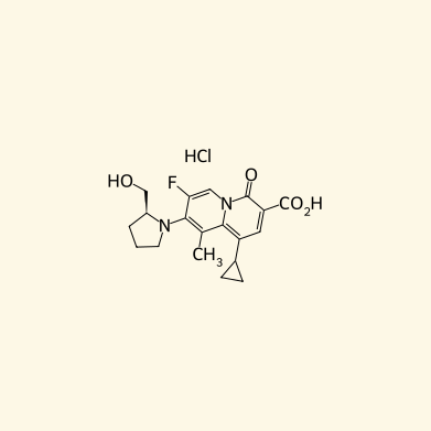 Cc1c(N2CCC[C@H]2CO)c(F)cn2c(=O)c(C(=O)O)cc(C3CC3)c12.Cl